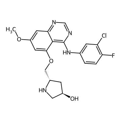 COc1cc(OC[C@@H]2C[C@@H](O)CN2)c2c(Nc3ccc(F)c(Cl)c3)ncnc2c1